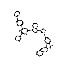 CC1(C)c2ccc(-c3cccc(-c4ccc(-c5cc(-c6ccc(-c7ccccc7)cc6)nc(-c6ccccc6)n5)c5ccccc45)c3)cc2-c2cc3ccccc3cc21